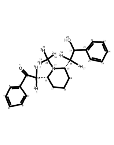 [2H]C([2H])(C(=O)c1ccccc1)[C@H]1CCC[C@@H](C([2H])([2H])C(O)c2ccccc2)N1C([2H])([2H])[2H]